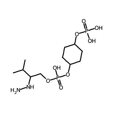 CC(C)C(COP(=O)(O)OC1CCC(OP(=O)(O)O)CC1)NN